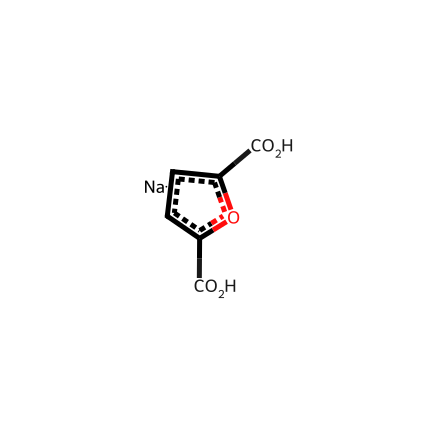 O=C(O)c1ccc(C(=O)O)o1.[Na]